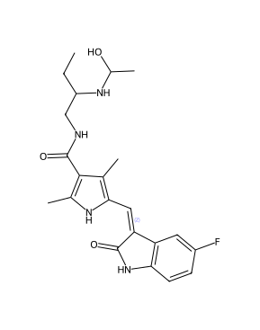 CCC(CNC(=O)c1c(C)[nH]c(/C=C2\C(=O)Nc3ccc(F)cc32)c1C)NC(C)O